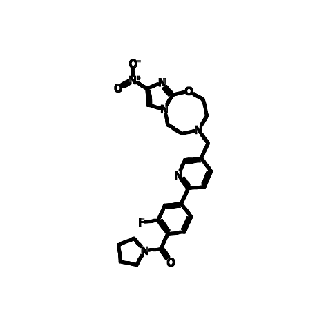 O=C(c1ccc(-c2ccc(CN3CCOc4nc([N+](=O)[O-])cn4CC3)cn2)cc1F)N1CCCC1